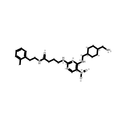 Cc1ccccc1CCNC(=O)CCCNc1ncc([N+](=O)[O-])c(NCC2CCC(CN)CC2)n1